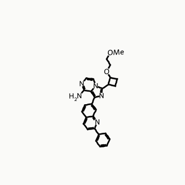 COCCOC1CCC1c1nc(-c2ccc3ccc(-c4ccccc4)nc3c2)c2c(N)nccn12